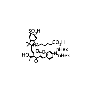 CCCCCCN(CCCCCC)c1ccc2cc(C(=O)C(/C=C/C3=[N+](CCCCCC(=O)O)c4ccc(S(=O)(=O)O)cc4C3(C)C)=C(\C)O)c(=O)oc2c1